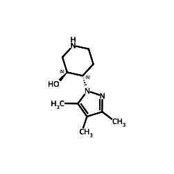 Cc1nn([C@H]2CCNC[C@@H]2O)c(C)c1C